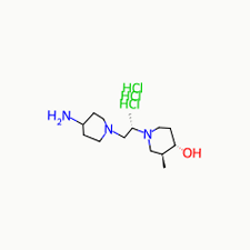 C[C@H]1CN([C@@H](C)CN2CCC(N)CC2)CC[C@@H]1O.Cl.Cl.Cl